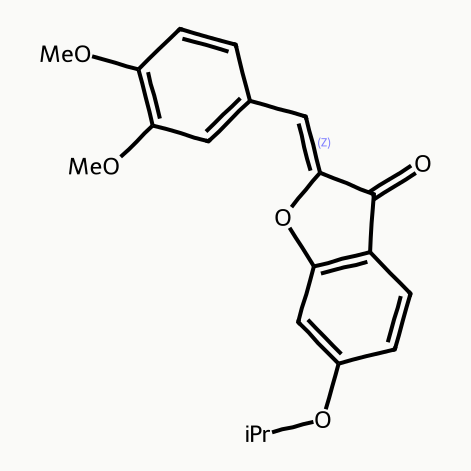 COc1ccc(/C=C2\Oc3cc(OC(C)C)ccc3C2=O)cc1OC